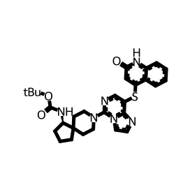 CC(C)(C)OC(=O)N[C@@H]1CCCC12CCN(c1ncc(Sc3cc(=O)[nH]c4ccccc34)c3nccn13)CC2